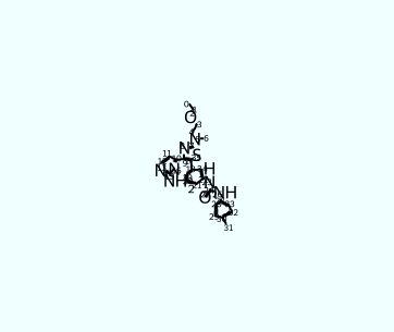 CCOCCN(C)c1nc(-c2ccnc(N)n2)c(-c2cccc(NC(=O)Nc3ccc(C)cc3)c2)s1